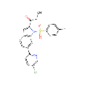 Cc1ccc(S(=O)(=O)n2c(C(=O)CC#N)cc3ccc(-c4ccc(Cl)cn4)cc32)cc1